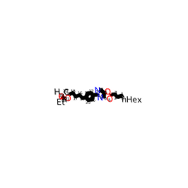 CCCCCCC=CCC(=O)Oc1cnc(-c2ccc(CCCCC(C)OC(=O)CC)cc2)nc1